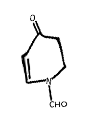 O=CN1C=CC(=O)CC1